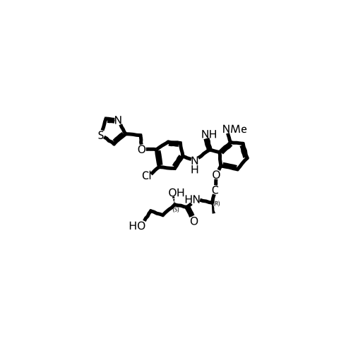 CNc1cccc(OC[C@@H](C)NC(=O)[C@@H](O)CCO)c1C(=N)Nc1ccc(OCc2cscn2)c(Cl)c1